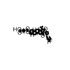 CC(C)C1=C2[C@H]3CC[C@@H]4[C@@]5(C)CC[C@H](OC(=O)[C@H]6C[C@@H](C(=O)O)[C@H]6C)C(C)(C)[C@@H]5CC[C@@]4(C)[C@]3(C)CC[C@@]2(C(=O)N2CCC[C@H]2CN2CCC(F)(F)C2)CC1=O